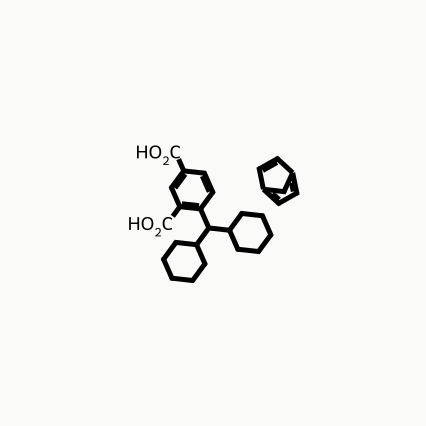 C1=CC2=CC=C1C2.O=C(O)c1ccc(C(C2CCCCC2)C2CCCCC2)c(C(=O)O)c1